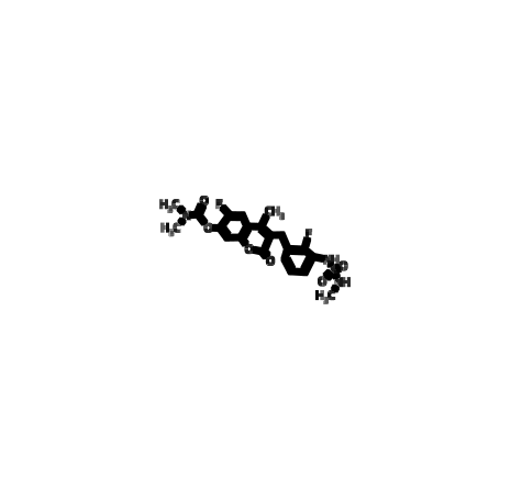 CNS(=O)(=O)Nc1cccc(Cc2c(C)c3cc(F)c(OC(=O)N(C)C)cc3oc2=O)c1F